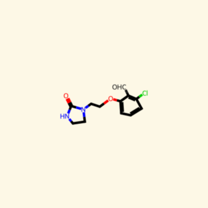 O=Cc1c(Cl)cccc1OCCN1CCNC1=O